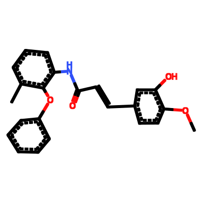 COc1ccc(C=CC(=O)Nc2cccc(C)c2Oc2ccccc2)cc1O